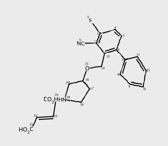 N#Cc1c(F)ccc(-c2ccccc2)c1COC1CCNC1.O=C(O)C=CC(=O)O